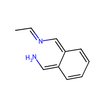 C/C=N/C=c1/cccc/c1=C/N